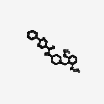 COc1cccc(OC)c1CN1CCC(NC(=O)c2cnc(-c3ccccc3)nc2)CC1